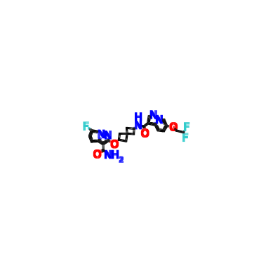 NC(=O)c1c(O[C@H]2CC3(C[C@H](NC(=O)c4cnn5cc(OCC(F)F)ccc45)C3)C2)nn2cc(F)ccc12